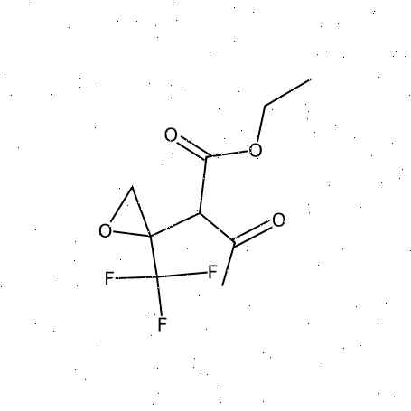 CCOC(=O)C(C(C)=O)C1(C(F)(F)F)CO1